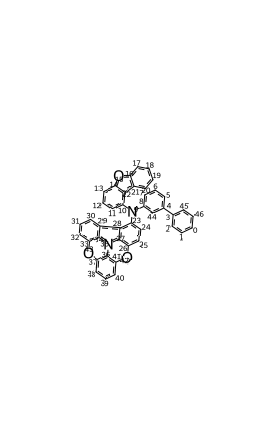 c1ccc(-c2cccc(N(c3cccc4oc5ccccc5c34)c3ccc4c5c3c3cccc6c3n5-c3c(cccc3O4)O6)c2)cc1